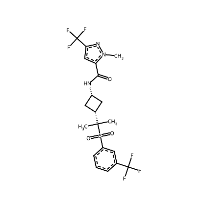 Cn1nc(C(F)(F)F)cc1C(=O)N[C@H]1C[C@@H](C(C)(C)S(=O)(=O)c2cccc(C(F)(F)F)c2)C1